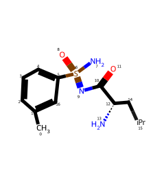 Cc1cccc(S(N)(=O)=NC(=O)[C@@H](N)CC(C)C)c1